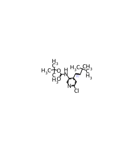 CC(C)(C)/C=C/c1cc(Cl)ncc1NC(=O)OC(C)(C)C